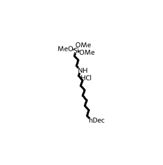 CCCCCCCCCCCCCCCCCCCNCCC[Si](OC)(OC)OC.Cl